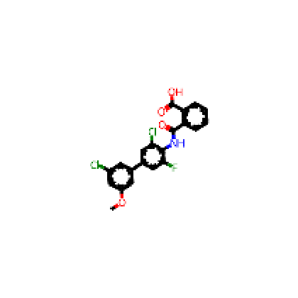 COc1cc(Cl)cc(-c2cc(F)c(NC(=O)c3ccccc3C(=O)O)c(Cl)c2)c1